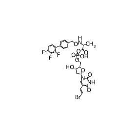 C[C@H](NOCc1ccc(-c2ccc(F)c(F)c2F)cc1)C(=O)OP(=O)(O)OC[C@H]1O[C@@H](n2cc(/C=C/Br)c(=O)[nH]c2=O)C[C@@H]1O